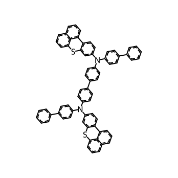 c1ccc(-c2ccc(N(c3ccc(-c4ccc(N(c5ccc(-c6ccccc6)cc5)c5ccc6c(c5)Sc5cccc7cccc-6c57)cc4)cc3)c3ccc4c(c3)Sc3cccc5cccc-4c35)cc2)cc1